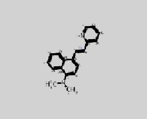 CN(C)c1ccc(/C=C/c2ccccn2)c2ccccc12